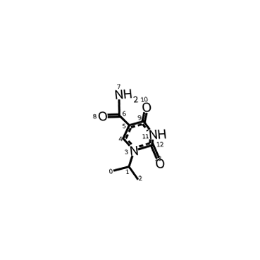 CC(C)n1cc(C(N)=O)c(=O)[nH]c1=O